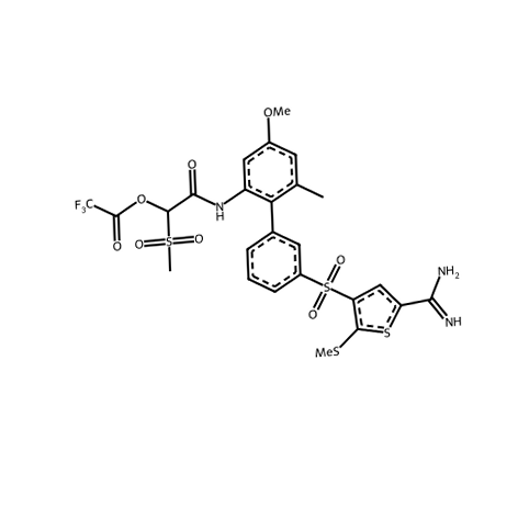 COc1cc(C)c(-c2cccc(S(=O)(=O)c3cc(C(=N)N)sc3SC)c2)c(NC(=O)C(OC(=O)C(F)(F)F)S(C)(=O)=O)c1